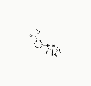 BC(B)(B)C(=O)Nc1cccc(C(=O)OC)c1